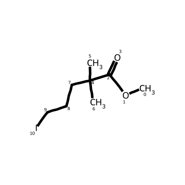 COC(=O)C(C)(C)CCCI